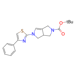 CC(C)(C)OC(=O)N1CC2=CN(c3nc(-c4ccccc4)cs3)CC2C1